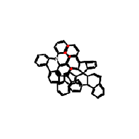 C1=CC2C(Oc3c(ccc4ccccc34)C23c2ccccc2-c2cc(-c4ccccc4N(c4ccccc4-c4ccccc4)c4ccc(-c5ccccc5)cc4-c4ccccc4)ccc23)c2ccccc21